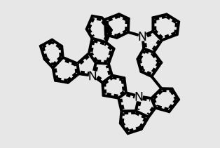 c1ccc(-n2c3ccccc3c3cc(-c4cccc5c6cccc7c8cc9c(cc8n(c45)c76)c4cc5ccccc5c5c6c7ccccc7ccc6n9c45)ccc32)cc1